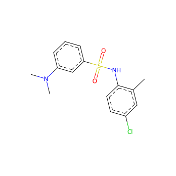 Cc1cc(Cl)ccc1NS(=O)(=O)c1cccc(N(C)C)c1